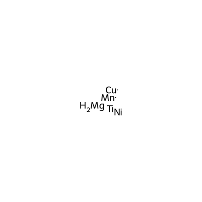 [Cu].[MgH2].[Mn].[Ni].[Ti]